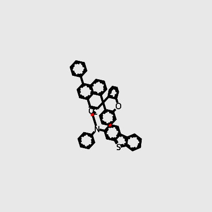 c1ccc(-c2ccc3c4c(cccc24)C2(c4ccccc4Oc4ccccc42)c2cc(N(c4ccccc4)c4ccc5c(c4)sc4ccccc45)ccc2-3)cc1